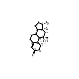 CC(=O)[C@H]1CCC2C3CCC4=CC(=O)CC[C@]4(C)C3[C@@](C)(O)C[C@@]21C